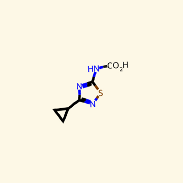 O=C(O)Nc1nc(C2CC2)ns1